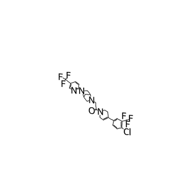 O=C(CN1CC2CC1CN2c1ccc(C(F)(F)F)cn1)N1CC=C(c2ccc(Cl)c(C(F)(F)F)c2)CC1